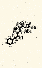 CCCCOC[C@@H](OC)[C@@H](OCCCC)[C@H](OCCCC)[C@@H](OCCCC)[C@H](Cl)C(F)(F)c1ccccc1